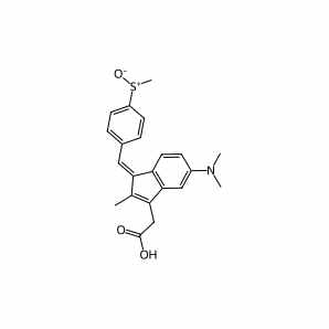 CC1=C(CC(=O)O)c2cc(N(C)C)ccc2/C1=C\c1ccc([S+](C)[O-])cc1